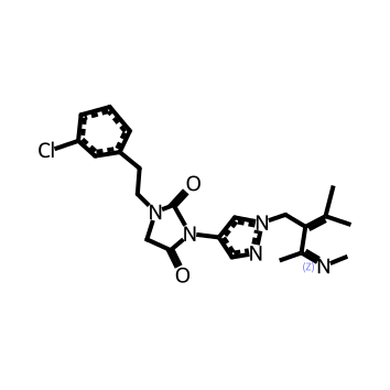 C/N=C(/C)C(Cn1cc(N2C(=O)CN(CCc3cccc(Cl)c3)C2=O)cn1)=C(C)C